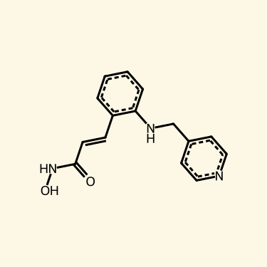 O=C(/C=C/c1ccccc1NCc1ccncc1)NO